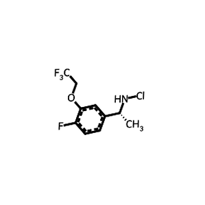 C[C@@H](NCl)c1ccc(F)c(OCC(F)(F)F)c1